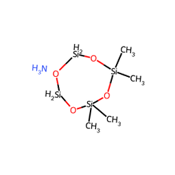 C[Si]1(C)O[SiH2]O[SiH2]O[Si](C)(C)O1.N